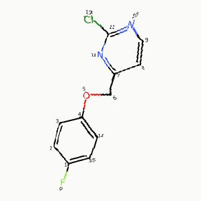 Fc1ccc(OCc2ccnc(Cl)n2)cc1